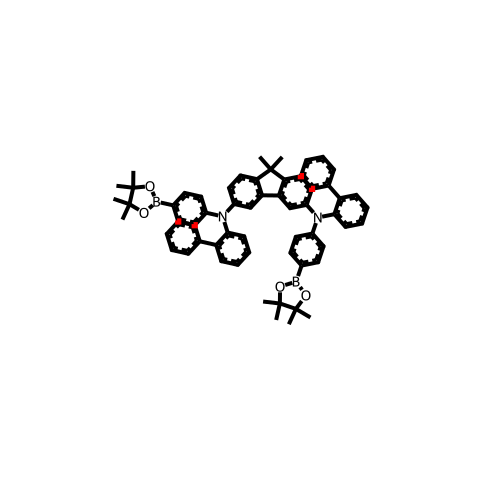 CC1(C)c2ccc(N(c3ccc(B4OC(C)(C)C(C)(C)O4)cc3)c3ccccc3-c3ccccc3)cc2-c2cc(N(c3ccc(B4OC(C)(C)C(C)(C)O4)cc3)c3ccccc3-c3ccccc3)ccc21